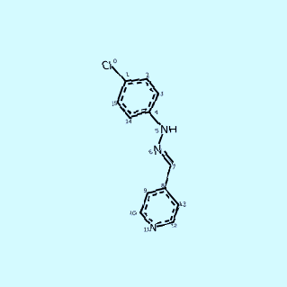 Clc1ccc(NN=Cc2ccncc2)cc1